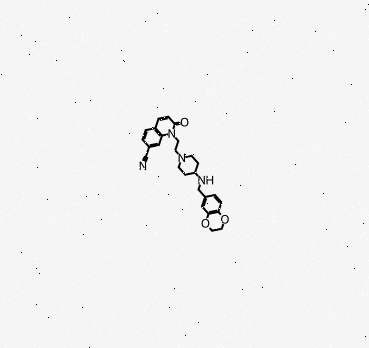 N#Cc1ccc2ccc(=O)n(CCN3CCC(NCc4ccc5c(c4)OCCO5)CC3)c2c1